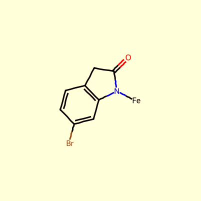 O=C1Cc2ccc(Br)cc2[N]1[Fe]